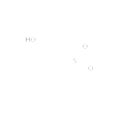 O=S1(=O)C=CC=C(O)C1